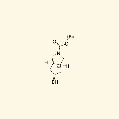 B=C1C[C@@H]2CN(C(=O)OC(C)(C)C)C[C@@H]2C1